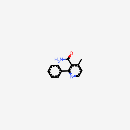 Cc1ccnc(-c2ccccc2)c1C(N)=O